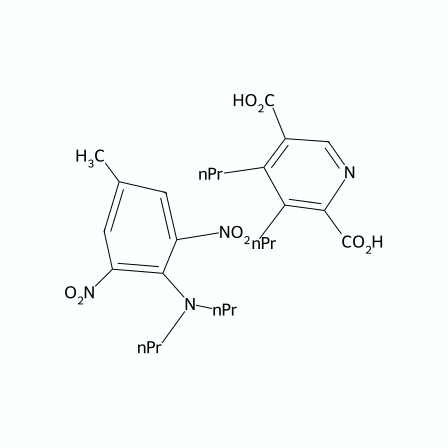 CCCN(CCC)c1c([N+](=O)[O-])cc(C)cc1[N+](=O)[O-].CCCc1c(C(=O)O)cnc(C(=O)O)c1CCC